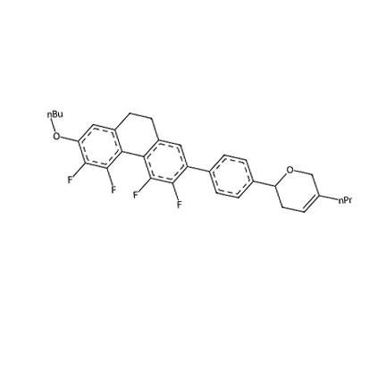 CCCCOc1cc2c(c(F)c1F)-c1c(cc(-c3ccc(C4CC=C(CCC)CO4)cc3)c(F)c1F)CC2